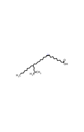 CCCCCCCCC(CCCCCCCC/C=C\CCCCCCCC(=O)O)CCN(C)C